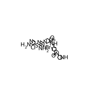 C[C@@H]1OCC2(CCN(c3cnc(Sc4ccnc(N)c4Cl)c(N)n3)CC2)[C@@H]1NCc1cc2c(cc1Br)C(=O)N(C1CCCNC1)C2